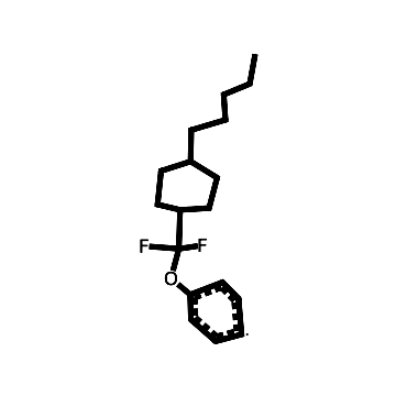 CCCCCC1CCC(C(F)(F)Oc2cc[c]cc2)CC1